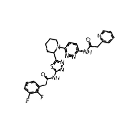 O=C(Cc1ccccn1)Nc1ccc(N2CCCCC2c2nnc(NC(=O)Cc3cccc(F)c3F)s2)nn1